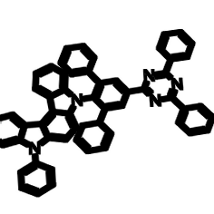 C1=CCC(c2cc(-c3nc(-c4ccccc4)nc(-c4ccccc4)n3)cc(-c3ccccc3)c2-n2c3ccccc3c3c4c5ccccc5n(-c5ccccc5)c4ccc32)C=C1